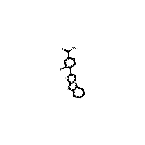 CNC(=O)c1ccc(-c2cn3c(n2)sc2ccccc23)c(F)c1